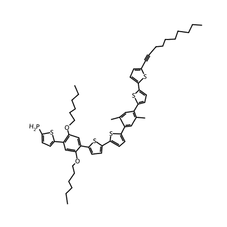 CCCCCCCCC#Cc1ccc(-c2ccc(-c3cc(C)c(-c4ccc(-c5ccc(-c6cc(OCCCCCC)c(-c7ccc(P)s7)cc6OCCCCCC)s5)s4)cc3C)s2)s1